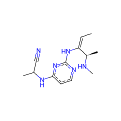 C/C=C(/Nc1nccc(NC(C)C#N)n1)[C@@H](C)NC